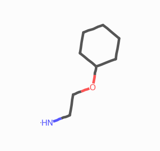 [NH]CCOC1CCCCC1